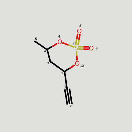 C#CC1CC(C)OS(=O)(=O)O1